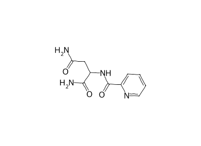 NC(=O)CC(NC(=O)c1ccccn1)C(N)=O